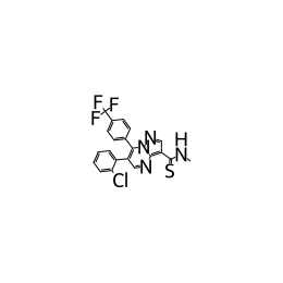 CNC(=S)c1cnn2c(-c3ccc(C(F)(F)F)cc3)c(-c3ccccc3Cl)cnc12